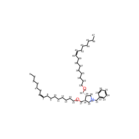 CCCCCC/C=C\CCCCCCCCOC[C@@H]1CN(Cc2ccccc2)C[C@H]1COCCCCCCCC/C=C\CCCCCC